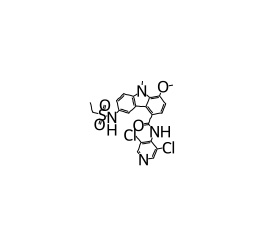 CCS(=O)(=O)Nc1ccc2c(c1)c1c(C(=O)Nc3c(Cl)cncc3Cl)ccc(OC)c1n2C